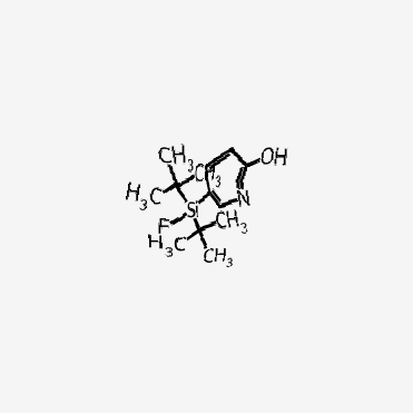 CC(C)(C)[Si](F)(c1ccc(O)nc1)C(C)(C)C